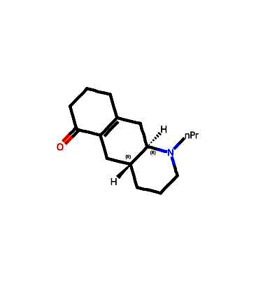 CCCN1CCC[C@@H]2CC3=C(CCCC3=O)C[C@H]21